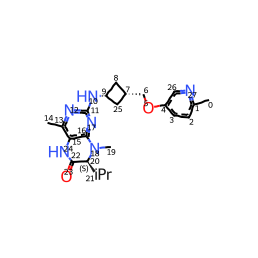 Cc1ccc(OC[C@H]2C[C@@H](Nc3nc(C)c4c(n3)N(C)[C@@H](C(C)C)C(=O)N4)C2)cn1